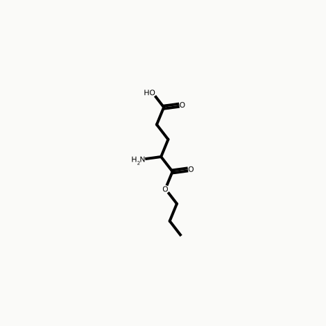 CCCOC(=O)C(N)CCC(=O)O